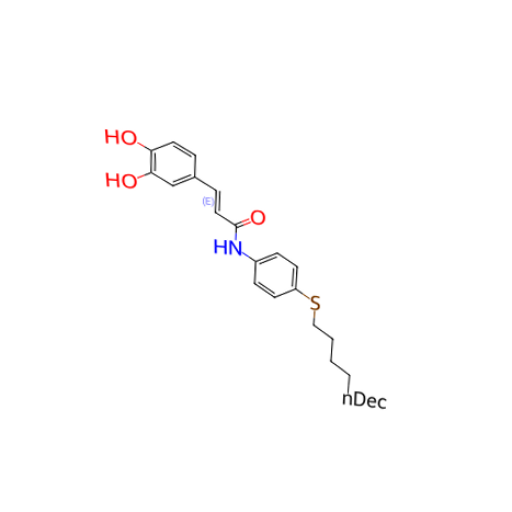 CCCCCCCCCCCCCCSc1ccc(NC(=O)/C=C/c2ccc(O)c(O)c2)cc1